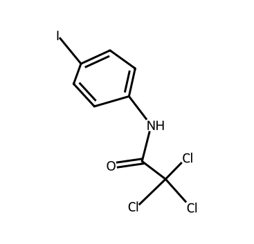 O=C(Nc1ccc(I)cc1)C(Cl)(Cl)Cl